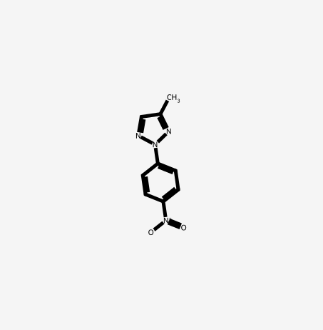 Cc1cnn(-c2ccc([N+](=O)[O-])cc2)n1